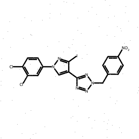 O=[N+]([O-])c1ccc(Cn2nnc(-c3cn(-c4ccc(Cl)c(Cl)c4)nc3I)n2)cc1